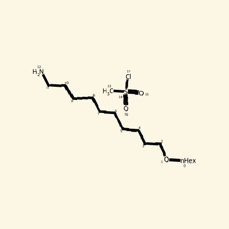 CCCCCCOCCCCCCCCCCN.CS(=O)(=O)Cl